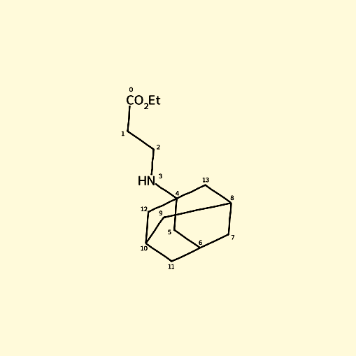 CCOC(=O)CCNC12CC3CC(CC(C3)C1)C2